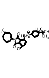 C/C1=C/C=C(N2C(=O)c3c(Cl)ccc(NS(=O)(=O)c4ccc(C(C)(C)C)cc4)c3C2=O)\C=C/CC1